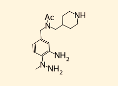 CC(=O)N(Cc1c#cc(N(C)N)c(N)c1)CC1CCNCC1